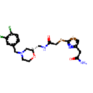 NC(=O)Cc1csc(SCC(=O)NC[C@H]2CN(Cc3ccc(F)c(F)c3)CCO2)n1